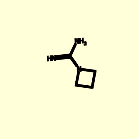 N=C(N)N1CCC1